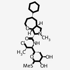 CSC1O[C@H]([C@H](NC(=O)[C@@H]2[C@@H]3OCC[C@H](C4CCCCC4)C[C@H]3CN2C)[C@H](C)Cl)C[C@@H](O)[C@H]1O